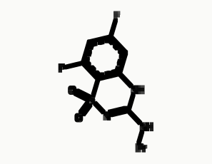 CC(C)NC1=NS(=O)(=O)c2c(F)cc(F)cc2N1